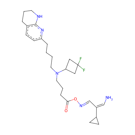 N/C=C(\C=N\OC(=O)CCCN(CCCCc1ccc2c(n1)NCCC2)C1CC(F)(F)C1)C1CC1